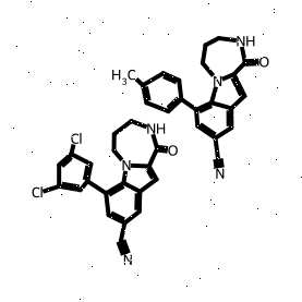 Cc1ccc(-c2cc(C#N)cc3cc4n(c23)CCCNC4=O)cc1.N#Cc1cc(-c2cc(Cl)cc(Cl)c2)c2c(c1)cc1n2CCCNC1=O